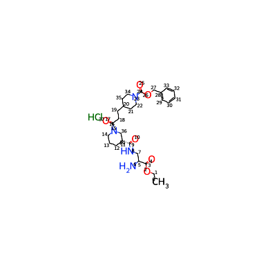 CCOC(=O)C(N)CNC(=O)[C@@H]1CCCN(C(=O)CCC2CCN(C(=O)OCc3ccccc3)CC2)C1.Cl